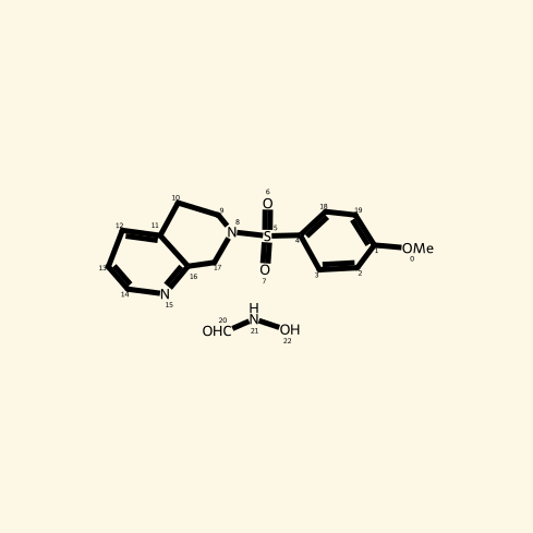 COc1ccc(S(=O)(=O)N2CCc3cccnc3C2)cc1.O=CNO